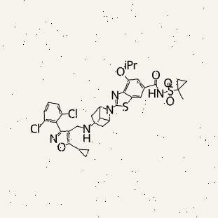 CC(C)Oc1cc(C(=O)NS(=O)(=O)C2(C)CC2)cc2sc(N3C4CC(NCc5c(-c6c(Cl)cccc6Cl)noc5C5CC5)CC3C4C)nc12